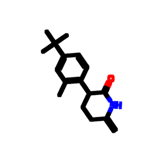 C=C1CCC(c2ccc(C(C)(C)C)cc2C)C(=O)N1